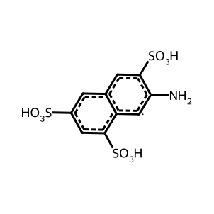 Nc1[c]c2c(S(=O)(=O)O)cc(S(=O)(=O)O)cc2cc1S(=O)(=O)O